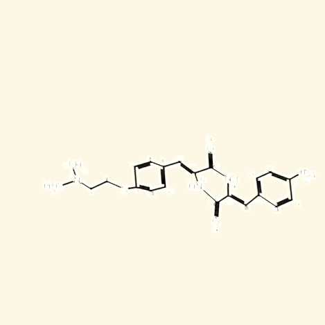 CN(C)CCSc1ccc(C=c2[nH]c(=O)c(=Cc3ccc(C(C)(C)C)cc3)[nH]c2=O)cc1